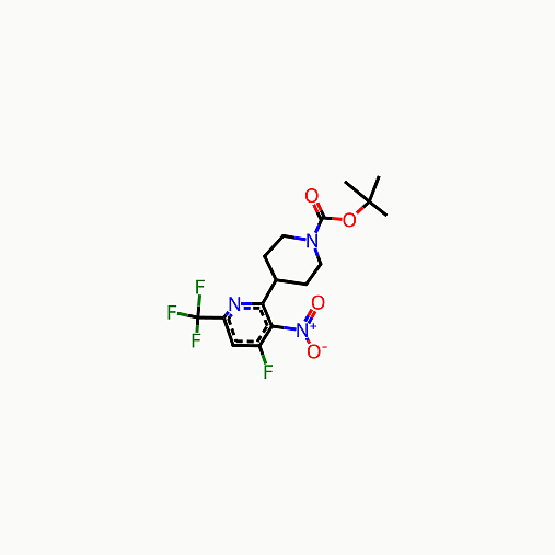 CC(C)(C)OC(=O)N1CCC(c2nc(C(F)(F)F)cc(F)c2[N+](=O)[O-])CC1